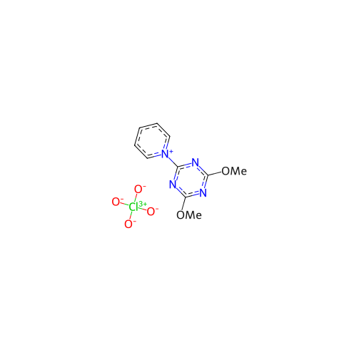 COc1nc(OC)nc(-[n+]2ccccc2)n1.[O-][Cl+3]([O-])([O-])[O-]